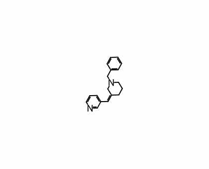 C(=C1CCCN(Cc2ccccc2)C1)c1cccnc1